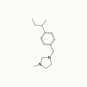 CCC(C)c1ccc(CN2CCN(C)C2)cc1